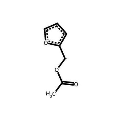 CC(=O)O[CH]c1ccco1